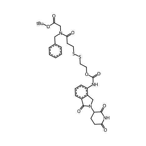 CC(C)(C)OC(=O)CN(Cc1ccccc1)C(=O)CCSSCCOC(=O)Nc1cccc2c1CN(C1CCC(=O)NC1=O)C2=O